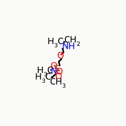 C=C(C)NCCOCCCS(=O)(=O)N(C)C(=O)C(C)C